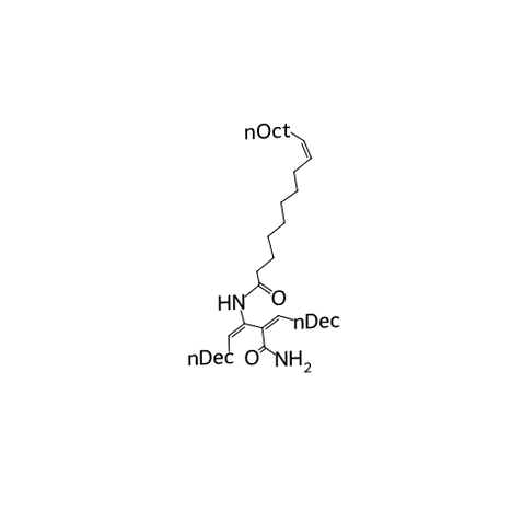 CCCCCCCC/C=C\CCCCCCCC(=O)NC(=CCCCCCCCCCC)C(=CCCCCCCCCCC)C(N)=O